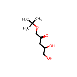 CC(C)(C)OCC(=O)CC(O)CO